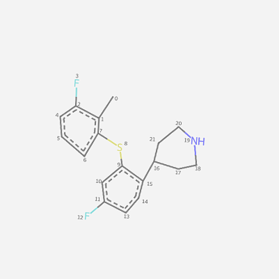 Cc1c(F)cccc1Sc1cc(F)ccc1C1CCNCC1